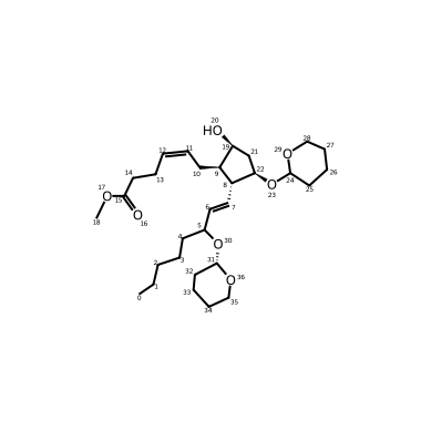 CCCCCC(/C=C/[C@@H]1[C@@H](C/C=C\CCC(=O)OC)[C@@H](O)C[C@H]1OC1CCCCO1)O[C@H]1CCCCO1